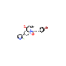 COC(=O)C1=C(NC(=O)CCc2ccc(Br)cc2)CCC(c2cccnc2F)C1